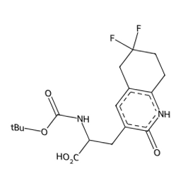 CC(C)(C)OC(=O)NC(Cc1cc2c([nH]c1=O)CCC(F)(F)C2)C(=O)O